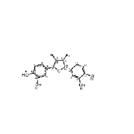 C[C@@H]1[C@H](C)[C@H](c2ccc(O)c(O)c2)O[C@H]1C1C=C(O)C(O)=CC1